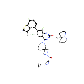 N#Cc1c(N)sc2c(F)ccc(-c3c(Cl)cc4c(N5CCCC6(CN(C(=O)[C@@H]7N[C@@H]7C7CC7)C6)C5)nc(OCC56CCCN5CCC6)nc4c3F)c12